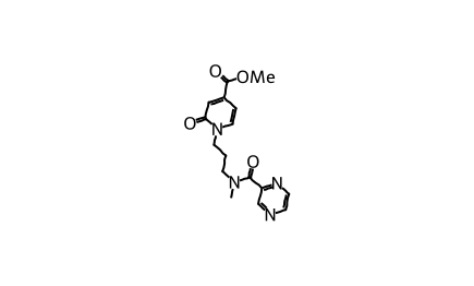 COC(=O)c1ccn(CCCN(C)C(=O)c2cnccn2)c(=O)c1